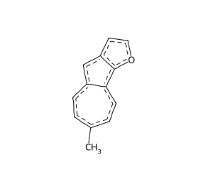 Cc1ccc2cc3ccoc3c-2cc1